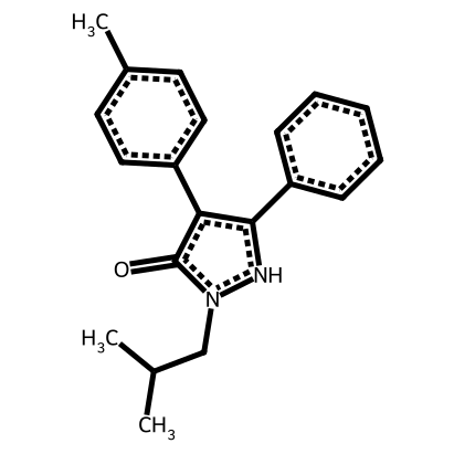 Cc1ccc(-c2c(-c3ccccc3)[nH]n(CC(C)C)c2=O)cc1